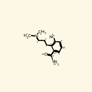 CN(C)CCCc1c(C#N)cccc1C(N)=O